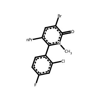 CCCc1cc(Br)c(=O)n(C)c1-c1ccc(F)cc1Cl